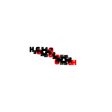 COc1ccc(C(=O)OCCOC(=O)c2ccc(CO)cc2)cc1